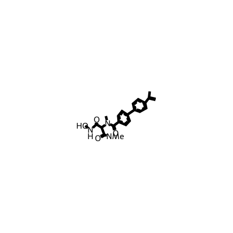 C=C(C)c1ccc(-c2ccc(C(=O)N(C)C(C(=O)NC)C(=O)NO)cc2)cc1